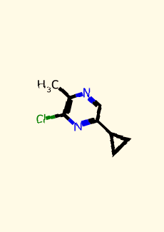 Cc1ncc(C2CC2)nc1Cl